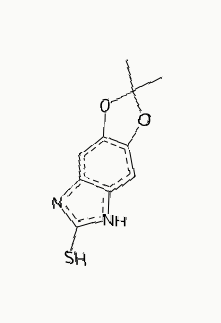 CC1(C)Oc2cc3nc(S)[nH]c3cc2O1